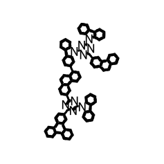 c1ccc2c(c1)ccc1ccc(-c3nc(-n4c5ccccc5c5ccccc54)nc(-n4c5ccccc5c5ccc(-c6cccc7c6ccc6ccc(-c8nc(-c9ccc%10c%11ccccc%11c%11ccccc%11c%10c9)nc(-n9c%10ccccc%10c%10ccccc%109)n8)cc67)cc54)n3)cc12